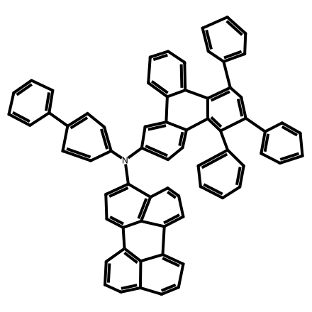 c1ccc(-c2ccc(N(c3ccc4c(c3)c3ccccc3c3c(-c5ccccc5)cc(-c5ccccc5)c(-c5ccccc5)c43)c3ccc4c5cccc6cccc(c7cccc3c74)c65)cc2)cc1